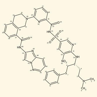 CN(C)CC[C@H](CSc1ccccc1)Nc1ncc(S(=O)(=O)NC(=O)c2cccc(N3CCc4cccc(C(=O)Nc5cn6ncccc6n5)c4C3)n2)cc1[N+](=O)[O-]